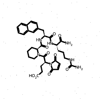 NC(=O)NCCC[C@H](NC(=O)[C@H](Cc1ccc2ccccc2c1)NC(=O)[C@@H]1CCCCN1C(=O)[C@H](CCC(=O)O)N1C(=O)C=CC1=O)C(N)=O